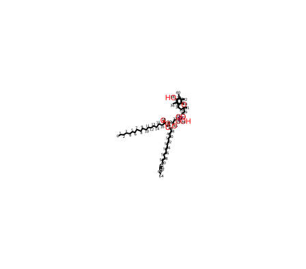 CCCCCCCCCCCCCCCCCC(=O)OC[C@H](COP(=O)(O)OCCC1(C)CCc2c(C)c(O)c(C)c(C)c2O1)OC(=O)CCCCCCCCCCCCCCCCC